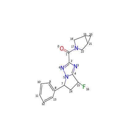 O=C(c1nc2n(n1)C(c1ccccc1)CC2F)N1CC2CC2C1